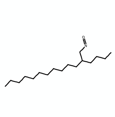 CCCCCCCCCCCC(CCCC)CN=O